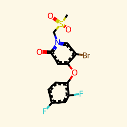 CS(=O)(=O)Cn1cc(Br)c(Oc2ccc(F)cc2F)cc1=O